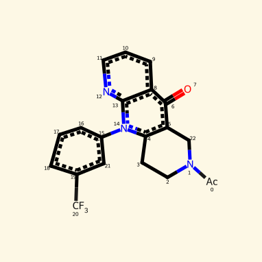 CC(=O)N1CCc2c(c(=O)c3cccnc3n2-c2cccc(C(F)(F)F)c2)C1